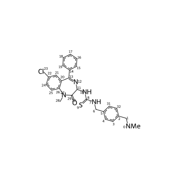 CNCc1ccc(CNC(=S)NC2N=C(c3ccccc3)c3cc(Cl)ccc3N(C)C2=O)cc1